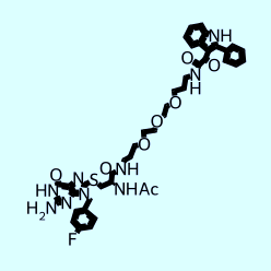 CC(=O)N[C@@H](CSc1nc2c(=O)[nH]c(N)nc2n1Cc1ccc(F)cc1)C(=O)NCCCOCCOCCOCCCNC(=O)C(=O)c1c(-c2ccccc2)[nH]c2ccccc12